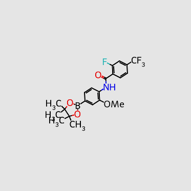 COc1cc(B2OC(C)(C)C(C)(C)O2)ccc1NC(=O)c1ccc(C(F)(F)F)cc1F